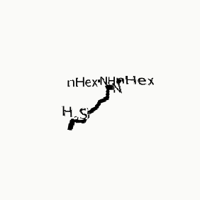 C=CC[SiH2]CCCC(=NCCCCCC)NCCCCCC